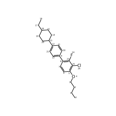 CCCCOc1ccc(-c2ccc(C3CCC(CC)CC3)cc2)c(F)c1Cl